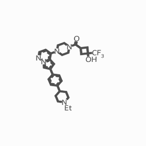 CCN1CCC(c2ccc(-c3cc4c(N5CCN(C(=O)C6CC(O)(C(F)(F)F)C6)CC5)ccnn4c3)cc2)CC1